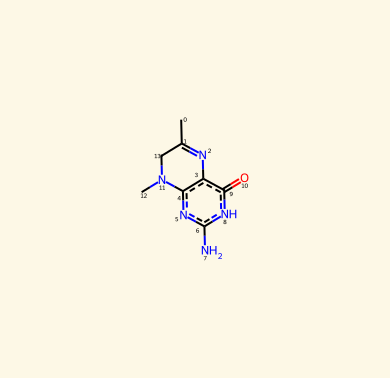 CC1=Nc2c(nc(N)[nH]c2=O)N(C)C1